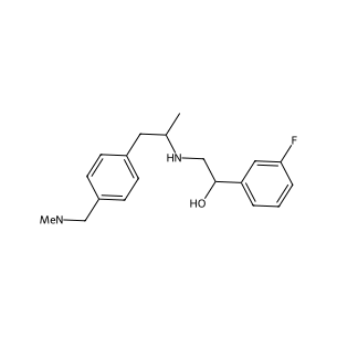 CNCc1ccc(CC(C)NCC(O)c2cccc(F)c2)cc1